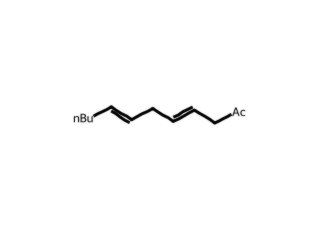 CCCCC=CCC=CCC(C)=O